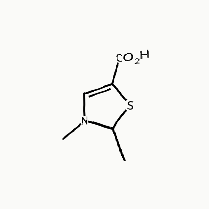 CC1SC(C(=O)O)=CN1C